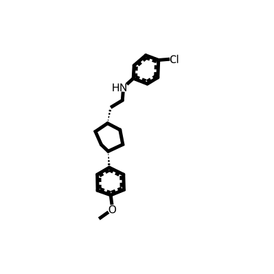 COc1ccc([C@H]2CC[C@@H](CCNc3ccc(Cl)cc3)CC2)cc1